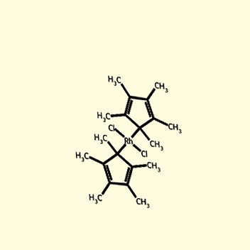 CC1=C(C)[C](C)([Rh]([Cl])([Cl])[C]2(C)C(C)=C(C)C(C)=C2C)C(C)=C1C